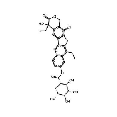 CCc1c2c(nc3ccc(OC(=O)[C@H]4O[C@@H](O)[C@H](O)[C@@H](O)[C@@H]4O)cc13)-c1cc3c(c(=O)n1C2)COC(=O)C3(O)CC